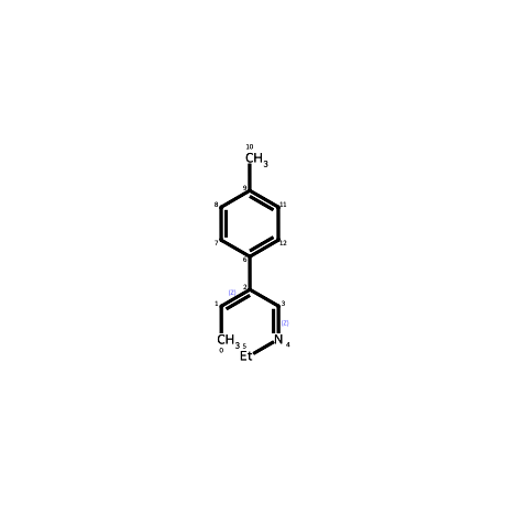 C/C=C(\C=N/CC)c1ccc(C)cc1